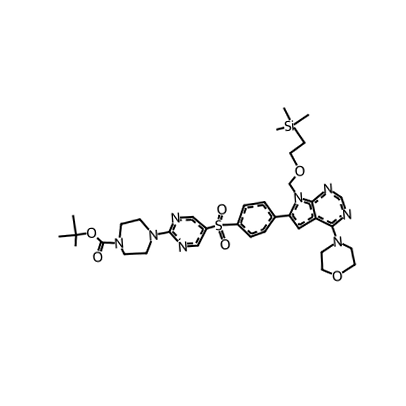 CC(C)(C)OC(=O)N1CCN(c2ncc(S(=O)(=O)c3ccc(-c4cc5c(N6CCOCC6)ncnc5n4COCC[Si](C)(C)C)cc3)cn2)CC1